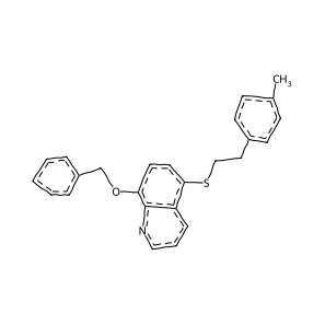 Cc1ccc(CCSc2ccc(OCc3ccccc3)c3ncccc23)cc1